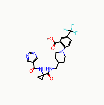 COC(=O)c1cc(C(F)(F)F)ccc1N1CCC(CNC(=O)C2(NC(=O)c3cncnc3)CC2)CC1